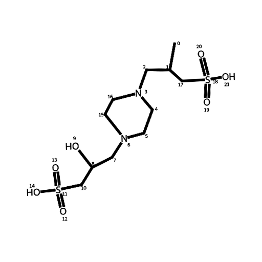 CC(CN1CCN(CC(O)CS(=O)(=O)O)CC1)CS(=O)(=O)O